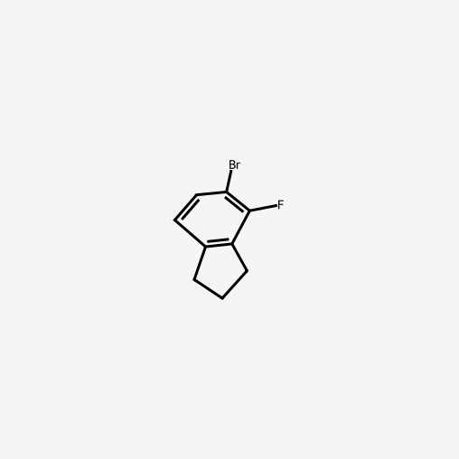 Fc1c(Br)ccc2c1CCC2